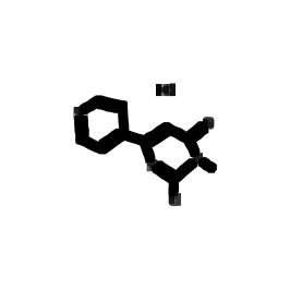 Cl.Cn1c(Cl)nc(-c2ccncc2)cc1=O